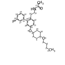 CCCCOC1CCC(Oc2ccc(CCNC(C)=O)c(-c3cccc(F)c3)c2)CC1